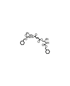 CC(C)[C@@H](COC(=O)/C=C/C(=O)OC[C@@H](NC(=O)OCC1CCCCC1)C(C)C)NC(=O)OCC1CCCCC1